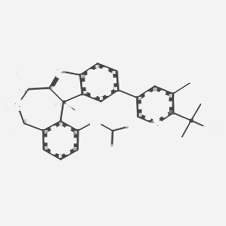 CC[C@H]1N[C@@H](C)c2cccc(OC(F)F)c2[C@@H]2C1=Nc1ccc(-c3cnc(C(C)(C)O)c(C)c3)cc12